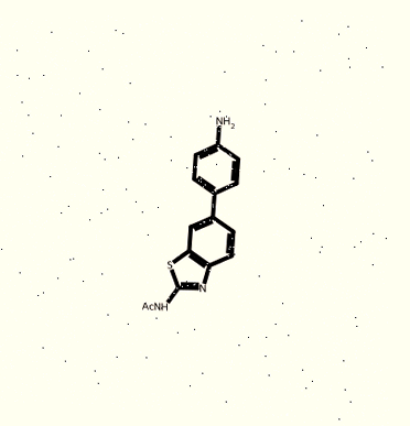 CC(=O)Nc1nc2ccc(-c3ccc(N)cc3)cc2s1